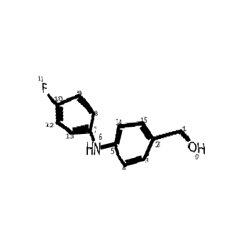 OCc1ccc(Nc2ccc(F)cc2)cc1